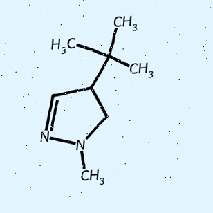 CN1CC(C(C)(C)C)C=N1